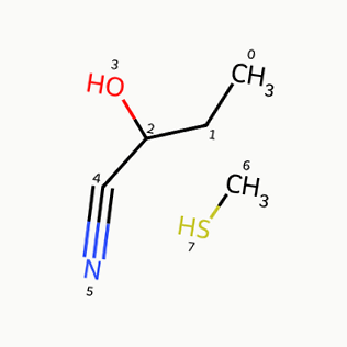 CCC(O)C#N.CS